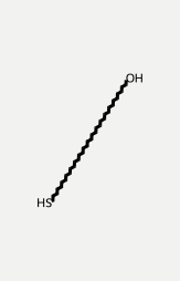 OCCCCCCCCCCCCCCCCCCCCCCCCCCCCCCCCCCCCS